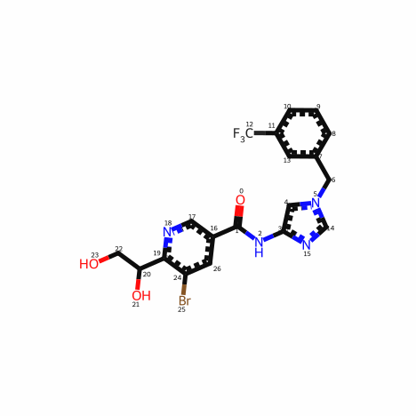 O=C(Nc1cn(Cc2cccc(C(F)(F)F)c2)cn1)c1cnc(C(O)CO)c(Br)c1